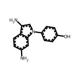 Nc1ccc2c(N)cn(-c3ccc(O)cc3)c2c1